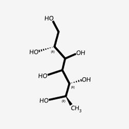 C[C@@H](O)[C@@H](O)C(O)C(O)[C@H](O)CO